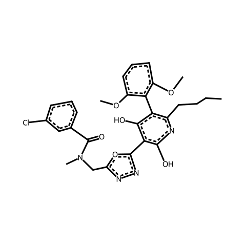 CCCCc1nc(O)c(-c2nnc(CN(C)C(=O)c3cccc(Cl)c3)o2)c(O)c1-c1c(OC)cccc1OC